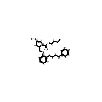 CCCCOC(=O)N1C[C@H](O)CC1COc1ccccc1CCCCc1ccccc1